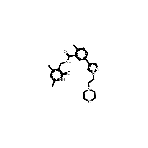 Cc1cc(C)c(CNC(=O)c2[c]c(-c3cnn(CCN4CCOCC4)c3)ccc2C)c(=O)[nH]1